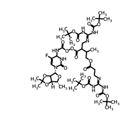 CC(COC(=O)CCN=C(NC(=O)OC(C)(C)C)NC(=O)OC(C)(C)C)C(CN=C(NC(=O)OC(C)(C)C)NC(=O)OC(C)(C)C)C(=O)OOC(=O)NC1NC(=O)N([C@@H]2O[C@H](C)[C@@H]3OC(C)(C)OC32)C=C1F